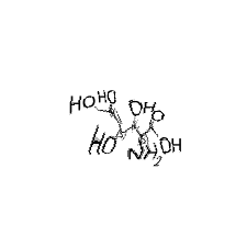 N[C@H](C(=O)O)[C@@H](O)[C@H](O)[C@H](O)CO